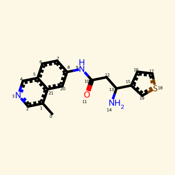 Cc1cncc2ccc(NC(=O)CC(N)c3ccsc3)cc12